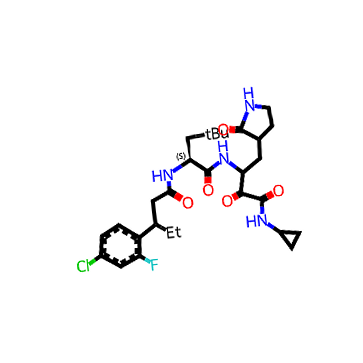 CCC(CC(=O)N[C@@H](CC(C)(C)C)C(=O)NC(CC1CCNC1=O)C(=O)C(=O)NC1CC1)c1ccc(Cl)cc1F